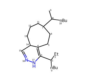 CCCCC(CC)C1=C2CCC(C(C)CCCC)CCCC2C=NN1